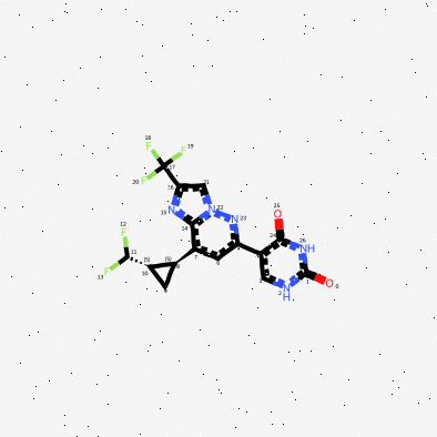 O=c1[nH]cc(-c2cc([C@H]3C[C@@H]3C(F)F)c3nc(C(F)(F)F)cn3n2)c(=O)[nH]1